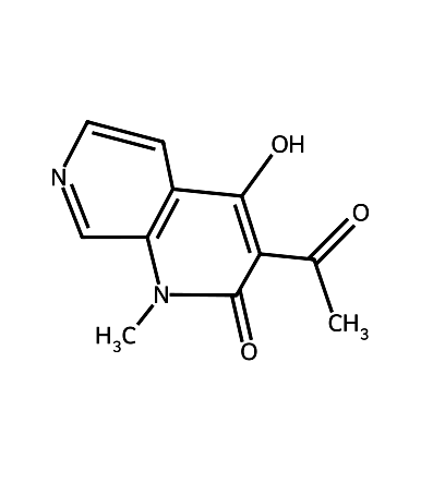 CC(=O)c1c(O)c2ccncc2n(C)c1=O